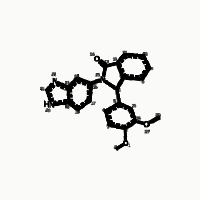 COc1ccc(C2c3ccccc3C(=O)N2c2ccc3[nH]cnc3c2)cc1OC